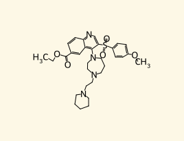 CCOC(=O)c1ccc2ncc(S(=O)(=O)c3ccc(OC)cc3)c(N3CCCN(CCN4CCCCC4)CC3)c2c1